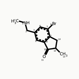 CNCc1cc(Br)c2c(c1)C(=O)C(C)C2